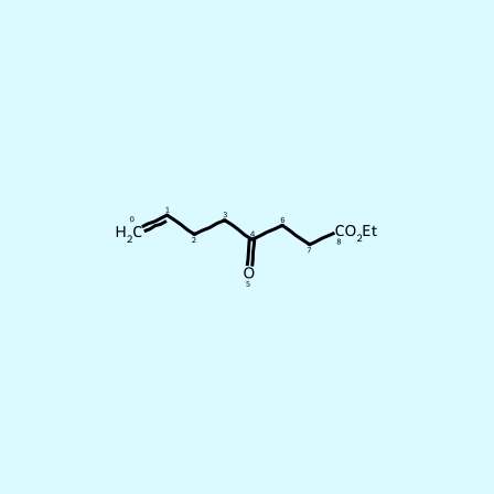 C=CCCC(=O)CCC(=O)OCC